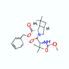 COC(=O)N[C@H](C(=O)N1C[C@@H]2CC(C)(C)[C@@H]2[C@H]1C(=O)OCc1ccccc1)C(C)(C)C